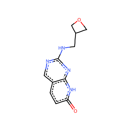 O=c1ccc2cnc(NCC3COC3)nc2[nH]1